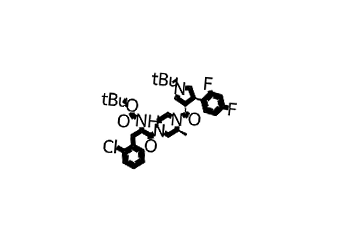 C[C@H]1CN(C(=O)C(Cc2ccccc2Cl)NC(=O)OC(C)(C)C)CCN1C(=O)[C@@H]1CN(C(C)(C)C)C[C@H]1c1ccc(F)cc1F